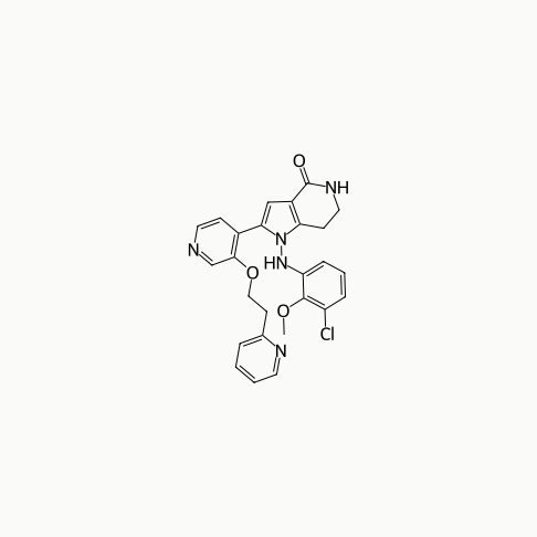 COc1c(Cl)cccc1Nn1c(-c2ccncc2OCCc2ccccn2)cc2c1CCNC2=O